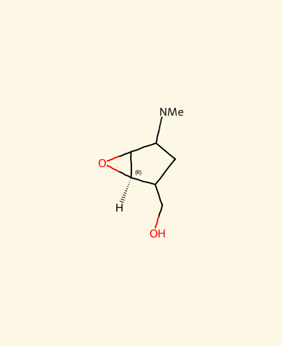 CNC1CC(CO)[C@H]2OC12